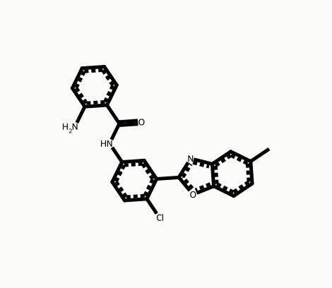 Cc1ccc2oc(-c3cc(NC(=O)c4ccccc4N)ccc3Cl)nc2c1